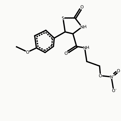 COc1ccc(C2SC(=O)NC2C(=O)NCCO[N+](=O)[O-])cc1